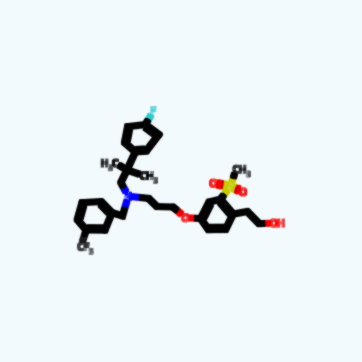 CC(C)(CN(CCCOc1ccc(CCO)c(S(C)(=O)=O)c1)Cc1cccc(C(F)(F)F)c1)c1ccc(F)cc1